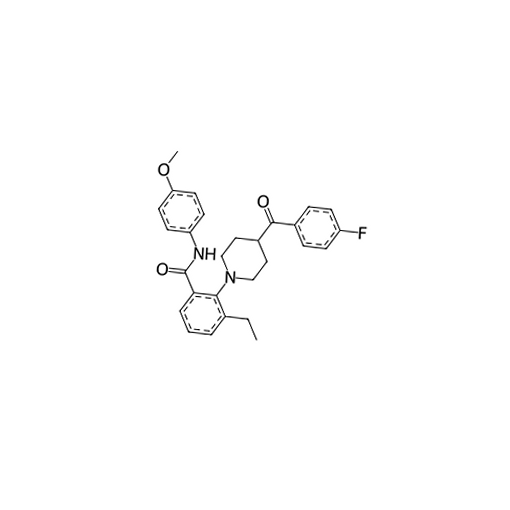 CCc1cccc(C(=O)Nc2ccc(OC)cc2)c1N1CCC(C(=O)c2ccc(F)cc2)CC1